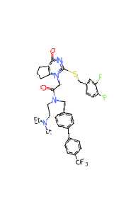 CCN(CC)CCN(Cc1ccc(-c2ccc(C(F)(F)F)cc2)cc1)C(=O)Cn1c(SCc2ccc(F)c(F)c2)nc(=O)c2c1CCC2